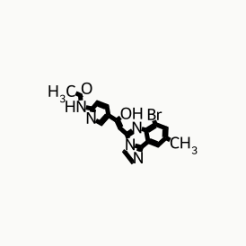 CC(=O)Nc1ccc(/C(O)=C/C2=Nc3c(Br)cc(C)cc3C3=NCCN23)cn1